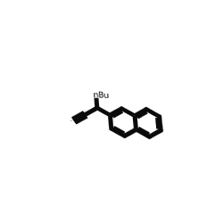 [C]#CC(CCCC)c1ccc2ccccc2c1